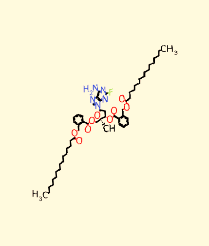 C#C[C@]1(COC(=O)c2ccccc2COC(=O)CCCCCCCCCCCCCCC)O[C@@H](n2cnc3c(N)nc(F)nc32)C[C@@H]1OC(=O)c1ccccc1COC(=O)CCCCCCCCCCCCCCC